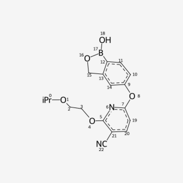 CC(C)OCCOc1nc(Oc2ccc3c(c2)COB3O)ccc1C#N